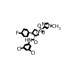 Cn1cnc(S(=O)(=O)N2C[C@H](C(=O)Nc3cc(Cl)cc(Cl)c3)[C@@H](c3ccc(F)cc3)C2)c1